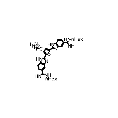 CCCCCCNC(=N)c1ccc2[nH]c(-c3ccc(-c4nc5cc(C(=N)NCCCCCC)ccc5[nH]4)s3)nc2c1.Cl.Cl.Cl.Cl